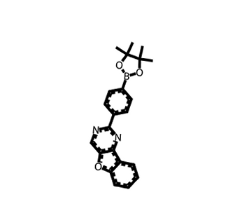 CC1(C)OB(c2ccc(-c3ncc4oc5ccccc5c4n3)cc2)OC1(C)C